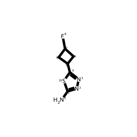 Nc1nnc(C2CC(F)C2)s1